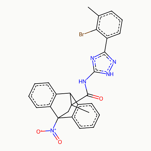 Cc1cccc(-c2n[nH]c(NC(=O)C3(C)CC4([N+](=O)[O-])c5ccccc5C3c3ccccc34)n2)c1Br